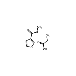 CCC(=O)O.COC(=O)c1ccoc1